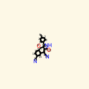 Cc1ccc(C2=C3C(=O)c4ccc(C#N)cc4C(C#N)=C3C(=O)N2)cc1